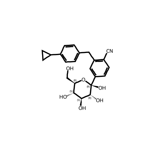 N#Cc1ccc([C@@]2(O)O[C@H](CO)[C@@H](O)[C@H](O)[C@H]2O)cc1Cc1ccc(C2CC2)cc1